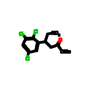 COC(=O)CC(C[N+](=O)[O-])c1cc(Cl)cc(Cl)c1Cl